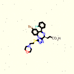 O=C(O)CC[C@@H]1N=C(c2ccccc2F)c2cc(Br)ccc2-n2c(SCCN3CCOCC3)nnc21